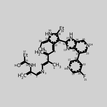 C=C(/C=N\C=C(/C)C(=C)/C=c1/c(-c2nc3c(-c4cncc(F)c4)cncc3[nH]2)c(CC)[nH]/c1=C/C)NC(=O)CC